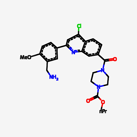 CCCOC(=O)N1CCN(C(=O)c2ccc3c(Cl)cc(-c4ccc(OC)c(CN)c4)nc3c2)CC1